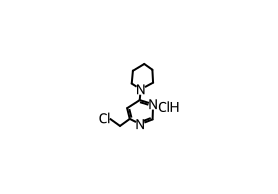 Cl.ClCc1cc(N2CCCCC2)ncn1